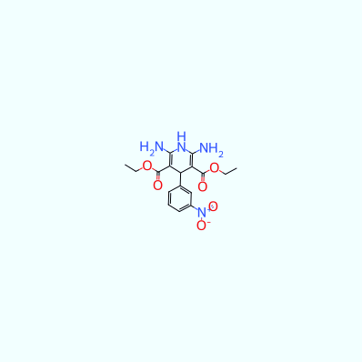 CCOC(=O)C1=C(N)NC(N)=C(C(=O)OCC)C1c1cccc([N+](=O)[O-])c1